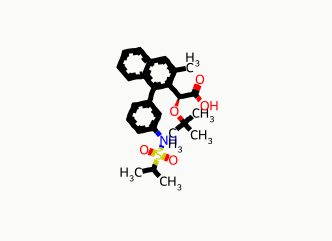 Cc1cc2ccccc2c(-c2cccc(NS(=O)(=O)C(C)C)c2)c1[C@H](OC(C)(C)C)C(=O)O